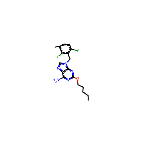 CCCCCOc1nc(N)c2ncn(Cc3c(F)ccc(C)c3F)c2n1